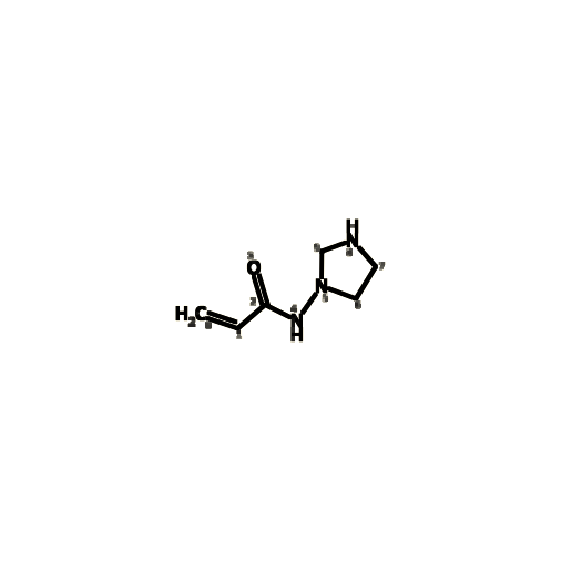 C=CC(=O)NN1CCNC1